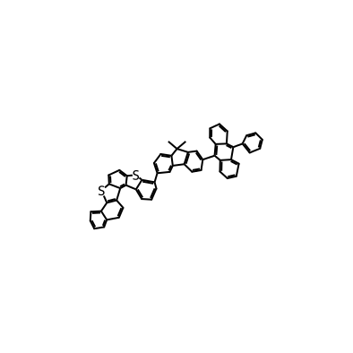 CC1(C)c2ccc(-c3cccc4c3sc3ccc5sc6c7ccccc7ccc6c5c34)cc2-c2ccc(-c3c4ccccc4c(-c4ccccc4)c4ccccc34)cc21